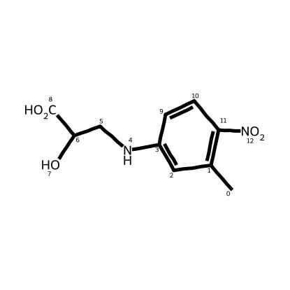 Cc1cc(NCC(O)C(=O)O)ccc1[N+](=O)[O-]